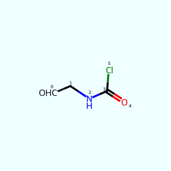 O=CCNC(=O)Cl